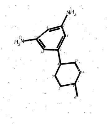 CC1CCC(c2cc(N)cc(N)c2)CC1